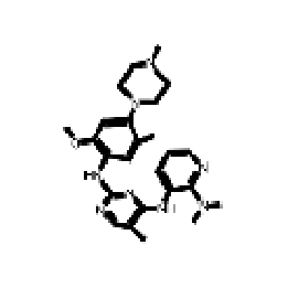 COc1cc(N2CCN(C)CC2)c(C)cc1Nc1ncc(C)c(Nc2cccnc2N(C)C)n1